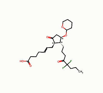 CCCC(F)(F)C(=O)CCC[C@H]1[C@H](OC2CCCCO2)CC(=O)[C@@H]1CC=CCCCC(=O)O